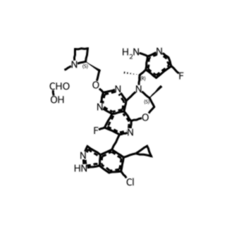 C[C@H](c1cc(F)cnc1N)N1c2nc(OC[C@@H]3CCN3C)nc3c(F)c(-c4c(C5CC5)c(Cl)cc5[nH]ncc45)nc(c23)OC[C@@H]1C.O=CO